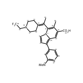 CNc1cc(-c2ccn3c(C(C)=C4CCN(CC(F)(F)F)CC4)c(C)c(C(=O)O)cc23)ccn1